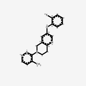 Cc1ccnnc1N1CCc2ncc(Oc3ccccc3F)cc2C1